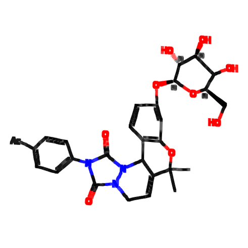 CC(=O)c1ccc(-n2c(=O)n3n(c2=O)C2C(=CC3)C(C)(C)Oc3cc(O[C@@H]4O[C@H](CO)C(O)[C@H](O)[C@H]4O)ccc32)cc1